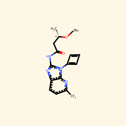 C[C@@H](CC(=O)Nc1nc2ccc(C(F)(F)F)nc2n1C1=CC=C1)OC(C)(C)C